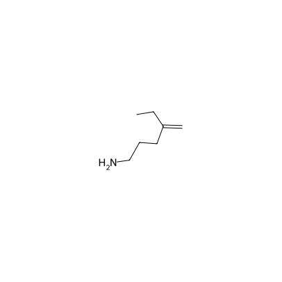 C=C(CC)CCCN